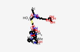 CC[C@]1(O)C[C@H]2CN(CCc3c([nH]c4ccccc34)[C@@](C)(c3cc4c(cc3OC)N(C)[C@H]3[C@@](O)(C(=O)CNC(=O)OCCSSC[C@@H](CC(=O)[C@H](NC(=O)CCCCCCCCOC5C[C@@H](O)C(O)C(CO)O5)NC(=O)CCCCC(C)=O)C(=O)O)[C@H](O)[C@]5(CC)C=CCN6CC[C@]43[C@@H]65)C2)C1